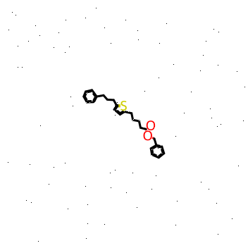 O=C(CCCCc1ccc(CCCc2ccccc2)s1)OCc1ccccc1